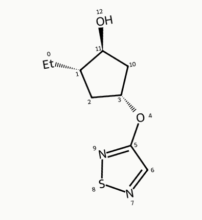 CC[C@H]1C[C@@H](Oc2cnsn2)C[C@@H]1O